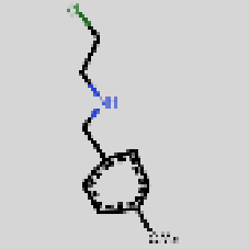 COc1ccc(CNCCCl)cc1